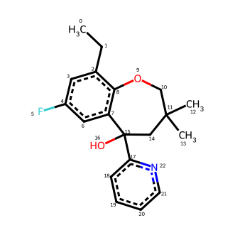 CCc1cc(F)cc2c1OCC(C)(C)CC2(O)c1ccccn1